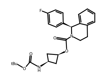 CC(C)(C)OC(=O)N[C@H]1C[C@@H](OC(=O)N2CCc3ccccc3[C@@H]2c2ccc(F)cc2)C1